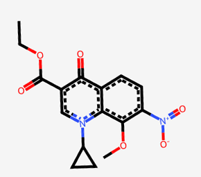 CCOC(=O)c1cn(C2CC2)c2c(OC)c([N+](=O)[O-])ccc2c1=O